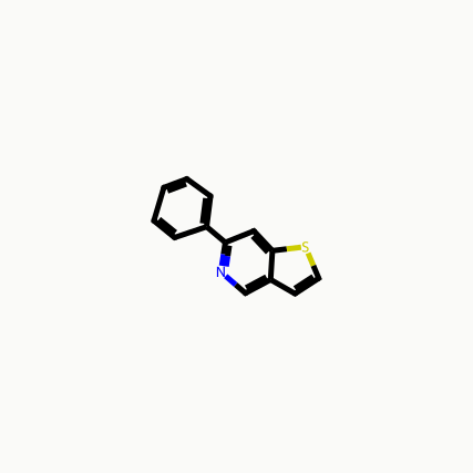 c1ccc(-c2cc3sccc3cn2)cc1